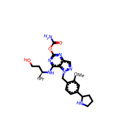 CCC[C@@H](CCO)Nc1nc(OC(N)=O)nc2cnn(Cc3ccc(C4CCCN4)cc3OC)c12